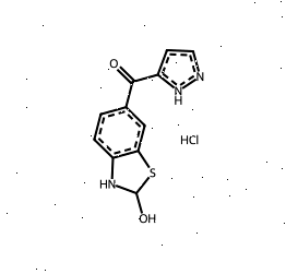 Cl.O=C(c1ccc2c(c1)SC(O)N2)c1ccn[nH]1